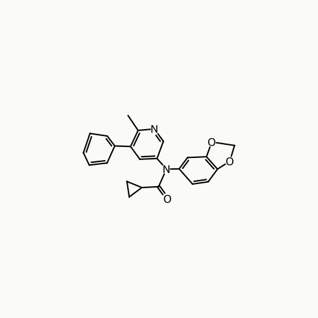 Cc1ncc(N(C(=O)C2CC2)c2ccc3c(c2)OCO3)cc1-c1ccccc1